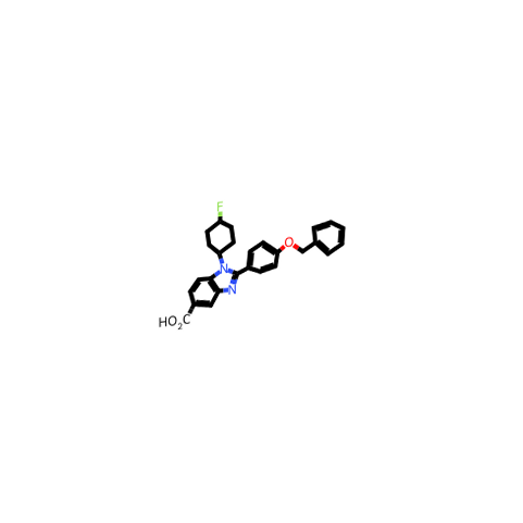 O=C(O)c1ccc2c(c1)nc(-c1ccc(OCc3ccccc3)cc1)n2C1CCC(F)CC1